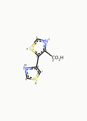 O=C(O)c1ncsc1-c1cscn1